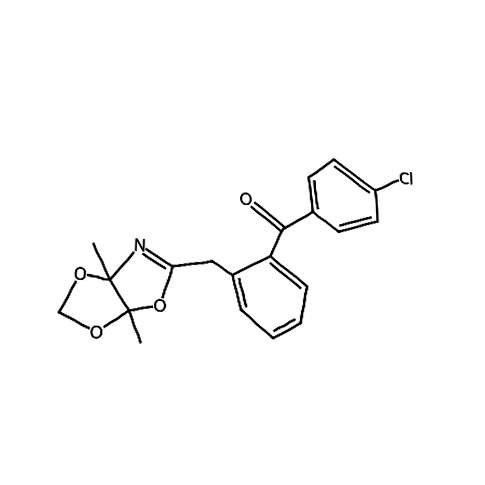 CC12N=C(Cc3ccccc3C(=O)c3ccc(Cl)cc3)OC1(C)OCO2